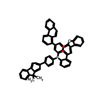 CC1(C)c2ccccc2-c2ccc(-c3ccc(N(c4cccc(-c5cccc6c5ccc5ccccc56)c4)c4ccccc4-c4ccc5oc6ccccc6c5c4)cc3)cc21